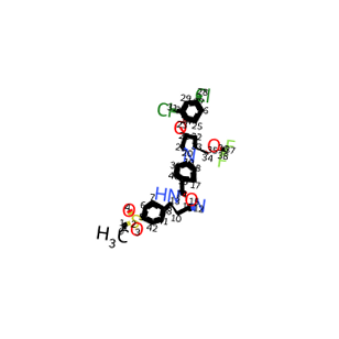 CCS(=O)(=O)c1ccc([C@H](CC#N)NC(=O)c2ccc(N3C[C@@H](Oc4ccc(Cl)cc4Cl)C[C@H]3COC(F)F)cc2)cc1